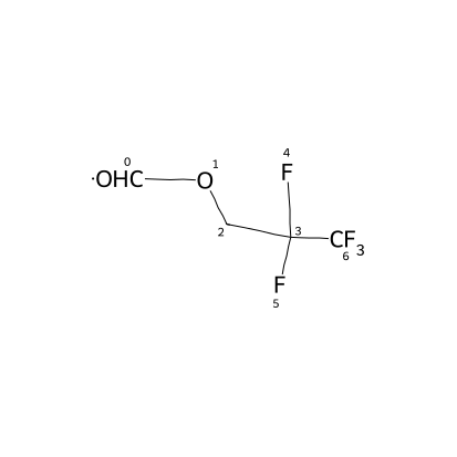 O=[C]OCC(F)(F)C(F)(F)F